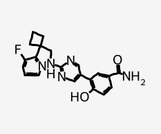 NC(=O)c1ccc(O)c(-c2cnc(NCC3(c4ncccc4F)CCC3)nc2)c1